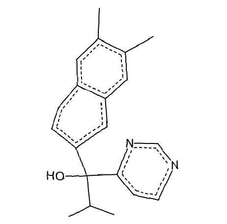 Cc1cc2ccc(C(O)(c3ccncn3)C(C)C)cc2cc1C